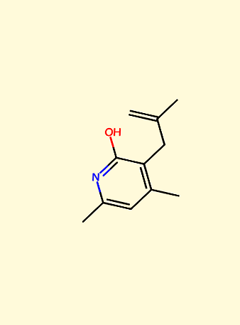 C=C(C)Cc1c(C)cc(C)nc1O